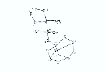 CC(OF)(OF)S(=O)(=O)OC12CC3CC(CC(C3)C1)C2